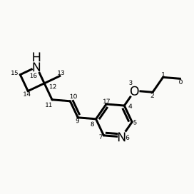 CCCOc1cncc(C=CCC2(C)CCN2)c1